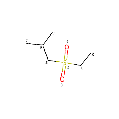 [CH2]CS(=O)(=O)CC(C)C